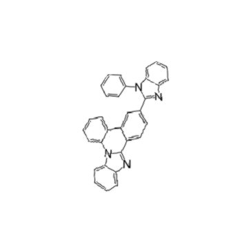 c1ccc(-n2c(-c3ccc4c(c3)c3ccccc3n3c5ccccc5nc43)nc3ccccc32)cc1